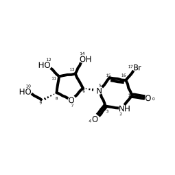 O=c1[nH]c(=O)n([C@@H]2O[C@H](CO)C(O)C2O)cc1Br